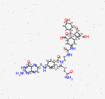 NC(=O)CC[C@@H](C(=O)O)N(CCNC(=S)Nc1ccc2c(c1)C(=O)OC21c2ccc(O)cc2Oc2cc(O)ccc21)C(=O)c1ccc(NCc2cnc3nc(N)[nH]c(=O)c3n2)cc1